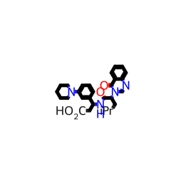 CC(C)CC(C(=O)NC(CC(=O)O)c1cccc(N2CCCCC2)c1)n1cnc2ccccc2c1=O